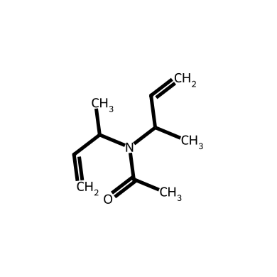 C=CC(C)N(C(C)=O)C(C)C=C